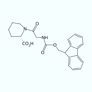 O=C(NCC(=O)N1CCCC[C@H]1C(=O)O)OCC1c2ccccc2-c2ccccc21